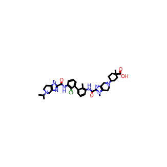 Cc1c(NC(=O)c2nc3c(n2C)CCN(C2CCC(C)(C(=O)O)CC2)C3)cccc1-c1cccc(NC(=O)c2nc3c(n2C)CCN(C(C)C)C3)c1Cl